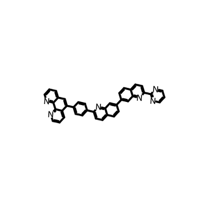 c1cnc(-c2ccc3ccc(-c4ccc5ccc(-c6ccc(-c7cc8cccnc8c8ncccc78)cc6)nc5c4)cc3n2)nc1